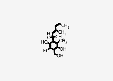 C/C=C\C(C)=C\C(C)(C)c1c(C)c(O)c(CO)c(CC)c1O